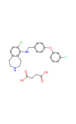 Fc1cccc(Oc2ccc(CNc3c(Cl)ccc4c3CCNCC4)cc2)c1.O=C(O)CCC(=O)O